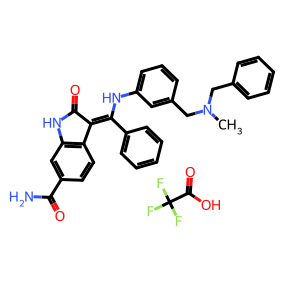 CN(Cc1ccccc1)Cc1cccc(N/C(=C2\C(=O)Nc3cc(C(N)=O)ccc32)c2ccccc2)c1.O=C(O)C(F)(F)F